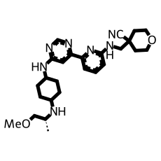 COC[C@@H](C)NC1CCC(Nc2cc(-c3cccc(NCC4(C#N)CCOCC4)n3)ncn2)CC1